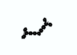 c1ccc(-c2cc(-c3ccc(-c4ccc(-c5cccc(-c6ccc(-c7ccc(-c8cc(-c9ccccc9)nc(-c9ccccc9)c8)cc7)cc6)c5)cc4)cc3)cc(-c3ccccc3)n2)cc1